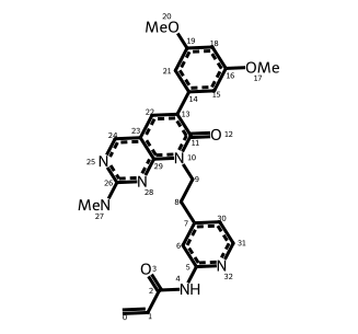 C=CC(=O)Nc1cc(CCn2c(=O)c(-c3cc(OC)cc(OC)c3)cc3cnc(NC)nc32)ccn1